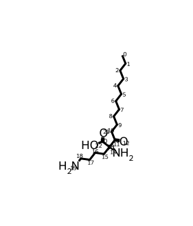 CCCCCCCCCCCC(=O)[C@](N)(CCCCN)C(=O)O